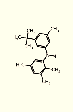 Cc1cc(N(I)c2cc(C)cc(C)c2C)cc(C(C)(C)C)c1